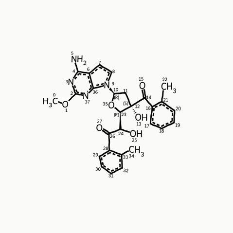 COc1nc(N)c2ccn([C@H]3C[C@@](O)(C(=O)c4ccccc4C)[C@@H](C(O)C(=O)c4ccccc4C)O3)c2n1